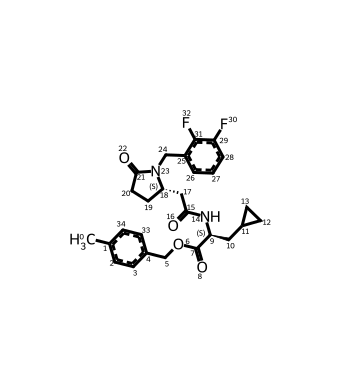 Cc1ccc(COC(=O)[C@H](CC2CC2)NC(=O)C[C@@H]2CCC(=O)N2Cc2cccc(F)c2F)cc1